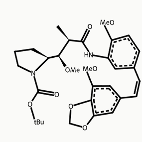 COc1ccc(/C=C\c2cc(OC)c3c(c2)OCO3)cc1NC(=O)[C@H](C)[C@@H](OC)[C@@H]1CCCN1C(=O)OC(C)(C)C